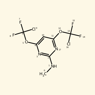 CNc1nc(OC(F)(F)Cl)cc(OC(F)(F)Cl)n1